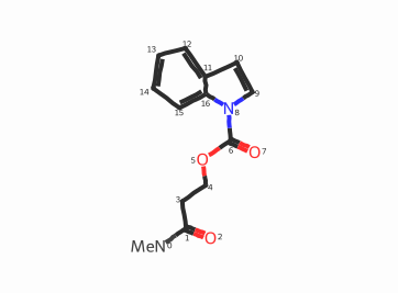 CNC(=O)CCOC(=O)n1ccc2ccccc21